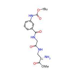 COC(=O)[C@@H](N)CNC(=O)CNC(=O)c1cccc(NC(=O)OC(C)(C)C)c1